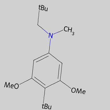 COc1cc(N(C)CC(C)(C)C)cc(OC)c1C(C)(C)C